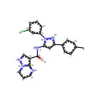 Cc1ccc(-c2cc(NC(=O)c3cnn4cccnc34)n(-c3cccc(F)c3)n2)cc1